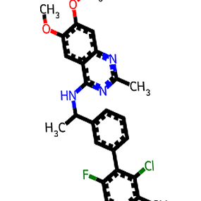 COc1cc2nc(C)nc(NC(C)c3cccc(-c4c(F)ccc(C)c4Cl)c3)c2cc1OC